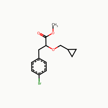 COC(=O)C(Cc1ccc(Br)cc1)OCC1CC1